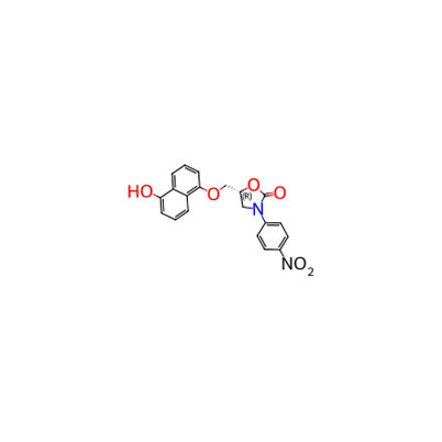 O=C1O[C@@H](COc2cccc3c(O)cccc23)CN1c1ccc([N+](=O)[O-])cc1